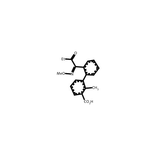 CCC(=O)C(=NOC)c1ccccc1-c1cccc(C(=O)O)c1C